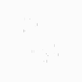 C[SH]=C(O)C#CC(C)(C)N(C)C